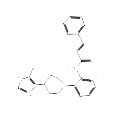 Cc1[nH]cnc1C1CCN(c2ccccc2NC(=O)C=Cc2ccccc2)CC1